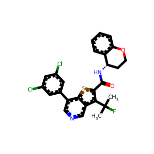 CC(C)(F)c1c(C(=O)N[C@H]2CCOc3ccccc32)sc2c(-c3cc(Cl)cc(Cl)c3)cncc12